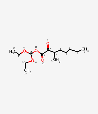 CCCCCC([SiH3])C(=O)C(=O)OC(OCC)OCC